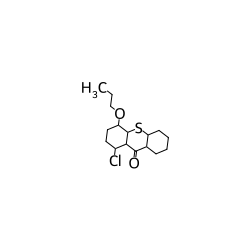 CCCOC1CCC(Cl)C2C(=O)C3CCCCC3SC12